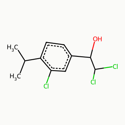 CC(C)c1ccc(C(O)C(Cl)Cl)cc1Cl